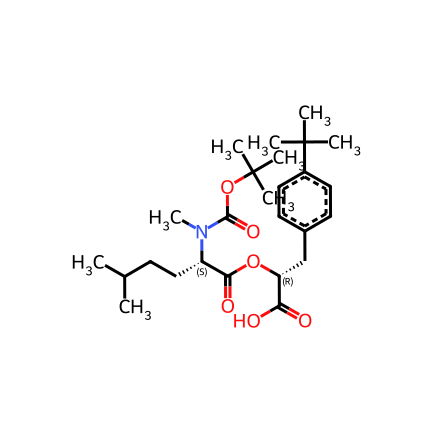 CC(C)CC[C@@H](C(=O)O[C@H](Cc1ccc(C(C)(C)C)cc1)C(=O)O)N(C)C(=O)OC(C)(C)C